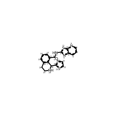 O=C(Nc1nc2cccnc2s1)c1cccc2c1C(c1nccs1)NCC2